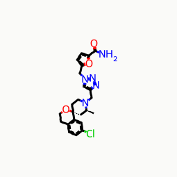 C[C@H]1C[C@@]2(CCN1Cc1cn(Cc3ccc(C(N)=O)o3)nn1)OCCc1ccc(Cl)cc12